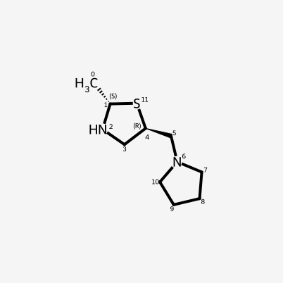 C[C@H]1NC[C@H](CN2CCCC2)S1